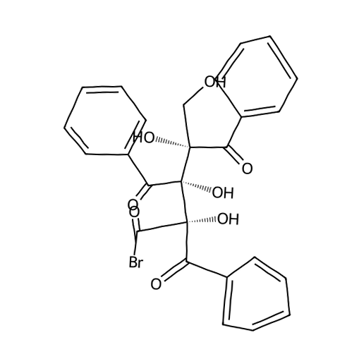 O=C(Br)[C@](O)(C(=O)c1ccccc1)[C@@](O)(C(=O)c1ccccc1)[C@@](O)(CO)C(=O)c1ccccc1